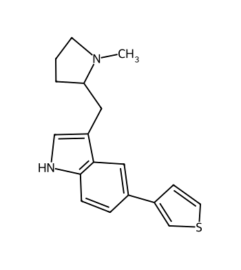 CN1CCCC1Cc1c[nH]c2ccc(-c3ccsc3)cc12